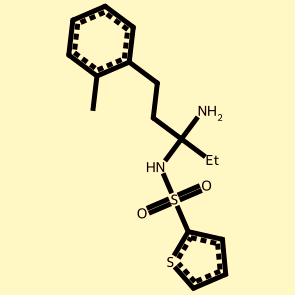 CCC(N)(CCc1ccccc1C)NS(=O)(=O)c1cccs1